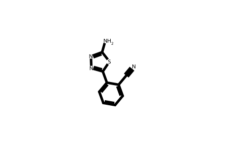 N#Cc1ccccc1-c1nnc(N)s1